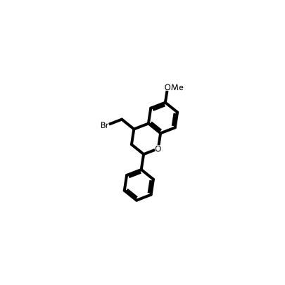 COc1ccc2c(c1)C(CBr)CC(c1ccccc1)O2